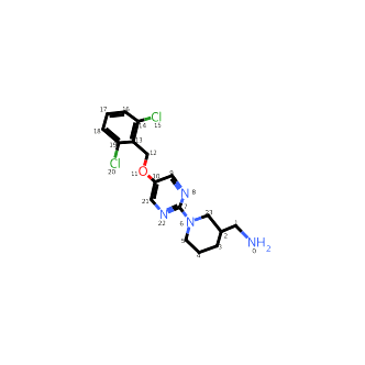 NCC1CCCN(c2ncc(OCc3c(Cl)cccc3Cl)cn2)C1